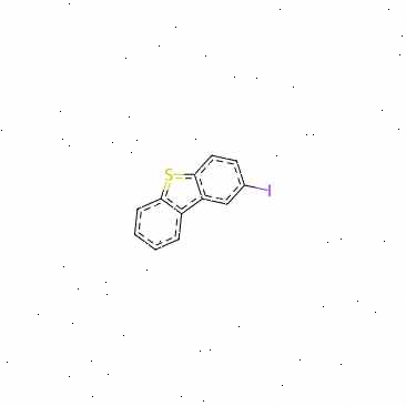 Ic1ccc2sc3ccccc3c2c1